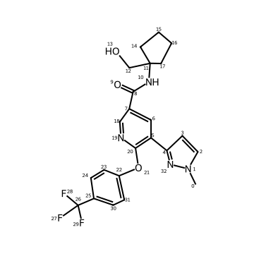 Cn1ccc(-c2cc(C(=O)NC3(CO)CCCC3)cnc2Oc2ccc(C(F)(F)F)cc2)n1